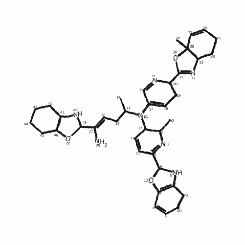 CC1N=C(C2NC3=C(C=CCC3)O2)C=CC1N(C1=CCC(C2=NC3CCC=CC3(C)O2)N=C1)C(C)C/C=C(\N)C1NC2CCCCC2O1